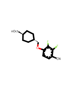 CCCCCCCC[C@H]1CC[C@H](COc2ccc(C#N)c(F)c2F)CC1